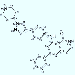 O=c1[nH]ccc2cc(-c3cncnc3)nc(Nc3ccc(-c4cnn(C5CCNCC5)c4)cc3)c12